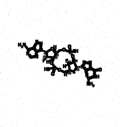 Nc1nc2c(nnn2[C@@H]2S[C@@H]3COP(=O)(S)O[C@H]4[C@H](F)[C@H](n5nnc6c(N)ncnc65)O[C@@H]4COP(=O)(S)O[C@@H]2[C@@H]3F)c(=O)[nH]1